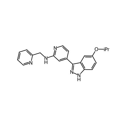 CC(C)Oc1ccc2[nH]nc(-c3ccnc(NCc4ccccn4)c3)c2c1